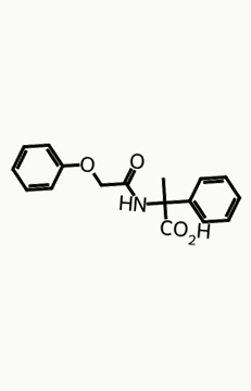 CC(NC(=O)COc1ccccc1)(C(=O)O)c1ccccc1